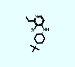 CCc1nccc(N[C@H]2CC[C@@H](C(C)(C)C)CC2)c1Br